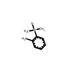 C[N+](C)([O-])c1ccccc1N